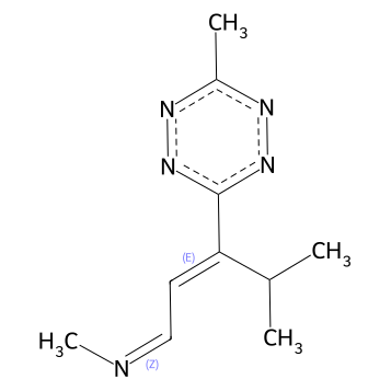 C/N=C\C=C(\c1nnc(C)nn1)C(C)C